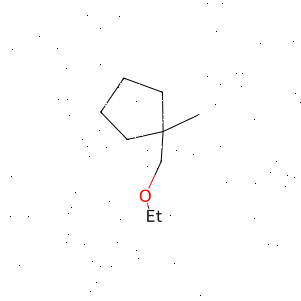 CCOCC1(C)CCCC1